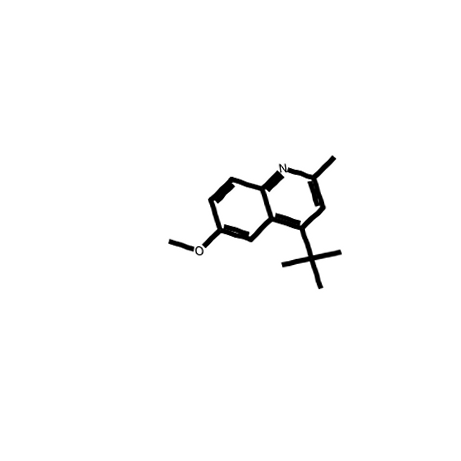 COc1ccc2nc(C)cc(C(C)(C)C)c2c1